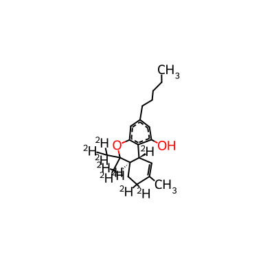 [2H]C1([2H])C[C@H]2C(C([2H])([2H])[2H])(C([2H])([2H])[2H])Oc3cc(CCCCC)cc(O)c3[C@]2([2H])C=C1C